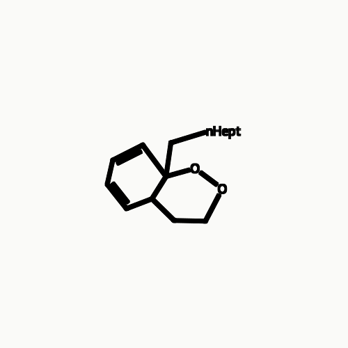 CCCCCCCCC12C=CC=CC1CCOO2